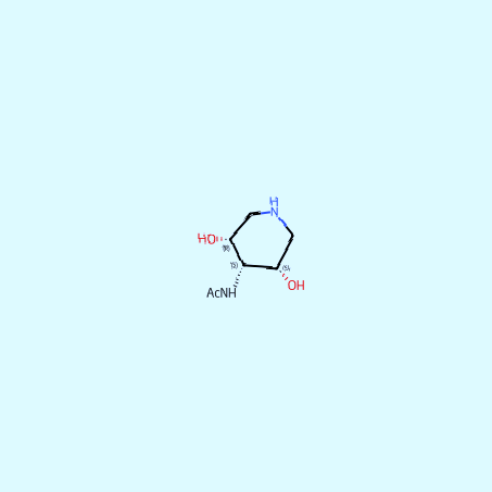 CC(=O)N[C@@H]1[C@H](O)CNC[C@@H]1O